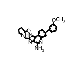 COc1cccc(-c2ccc3c(c2)nc(N)c2nc(CN4CCCC4=O)[nH]c23)c1